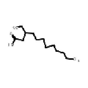 CCCCCCCCCC(CC)CC(=O)O